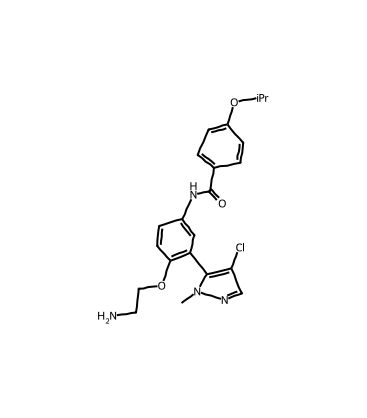 CC(C)Oc1ccc(C(=O)Nc2ccc(OCCN)c(-c3c(Cl)cnn3C)c2)cc1